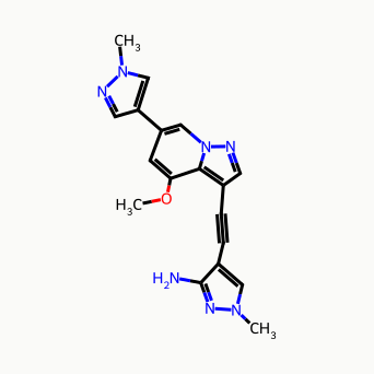 COc1cc(-c2cnn(C)c2)cn2ncc(C#Cc3cn(C)nc3N)c12